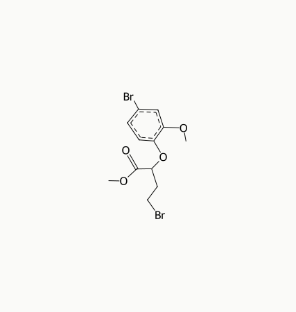 COC(=O)C(CCBr)Oc1ccc(Br)cc1OC